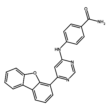 NC(=O)c1ccc(Nc2cc(-c3cccc4c3oc3ccccc34)ncn2)cc1